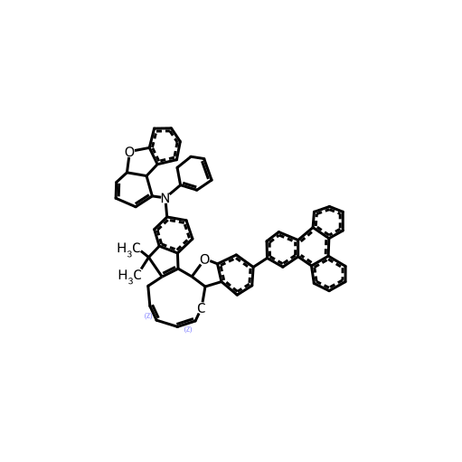 CC1(C)C2=C(c3ccc(N(C4=CC=CCC4)C4=CC=CC5Oc6ccccc6C45)cc31)C1Oc3cc(-c4ccc5c6ccccc6c6ccccc6c5c4)ccc3C1C/C=C\C=C/C2